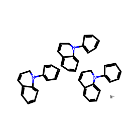 C1=Cc2ccccc2N(c2ccccc2)C1.C1=Cc2ccccc2N(c2ccccc2)C1.C1=Cc2ccccc2N(c2ccccc2)C1.[Ir]